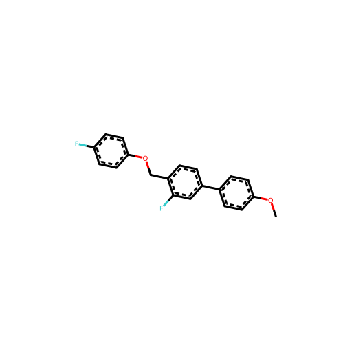 COc1ccc(-c2ccc(COc3ccc(F)cc3)c(F)c2)cc1